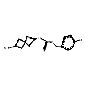 O=CC1CC2(C1)CC(NC(=O)NCc1ccc(Cl)cc1)C2